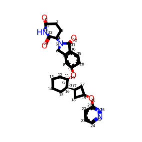 O=C1CCC(N2Cc3cc(O[C@H]4CCCC[C@@H]4C4CC(Oc5cccnn5)C4)ccc3C2=O)C(=O)N1